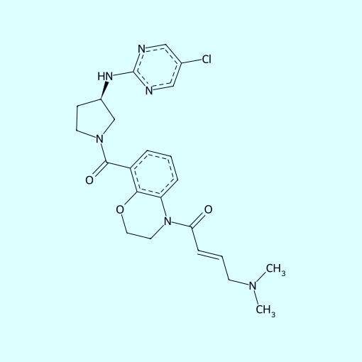 CN(C)C/C=C/C(=O)N1CCOc2c(C(=O)N3CC[C@@H](Nc4ncc(Cl)cn4)C3)cccc21